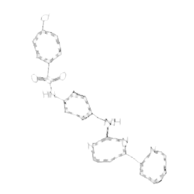 O=S(=O)(Nc1ccc(Nc2nccc(-c3ccccn3)n2)cc1)c1ccc(Cl)cc1